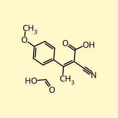 COc1ccc(C(C)=C(C#N)C(=O)O)cc1.O=CO